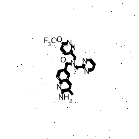 Cc1cc2cc(C(=O)N(Cc3ccc(OC(F)(F)F)nn3)[C@@H](C)c3ncccn3)ccc2nc1N